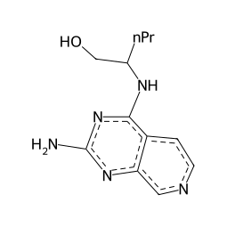 CCCC(CO)Nc1nc(N)nc2cnccc12